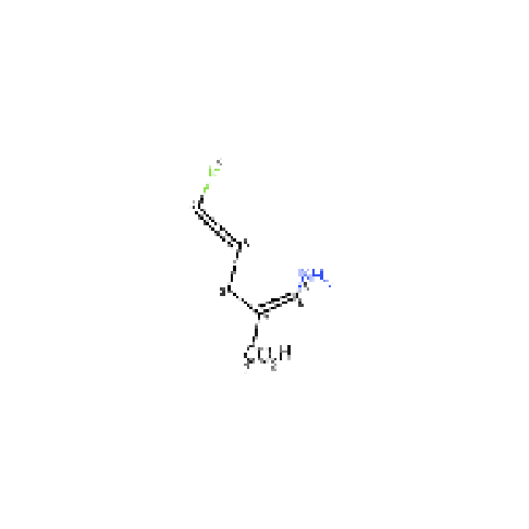 NC=C(CC=CF)C(=O)O